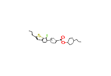 CCCc1cc2ccc(C3CCC(C(=O)OC4CCC(CCC)CC4)CC3)c(F)c2s1